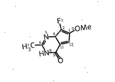 COC1=C(F)C2N=C(C)NC(=O)C2=C1